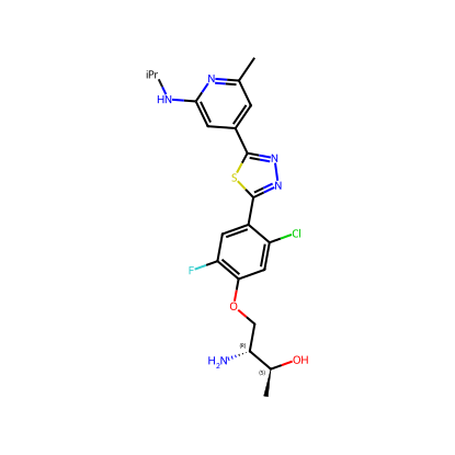 Cc1cc(-c2nnc(-c3cc(F)c(OC[C@@H](N)[C@H](C)O)cc3Cl)s2)cc(NC(C)C)n1